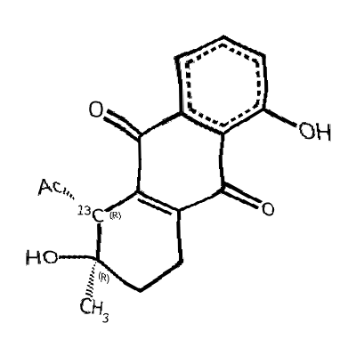 CC(=O)[13C@@H]1C2=C(CC[C@@]1(C)O)C(=O)c1c(O)cccc1C2=O